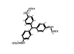 CCCCCCNc1ccc(C(c2ccc(NCCCCCC)cc2)c2ccc(NCCCCCC)cc2)cc1